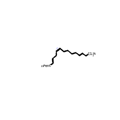 [CH2]CCCCC=CC/C=C\CCCCCCCC(=O)O